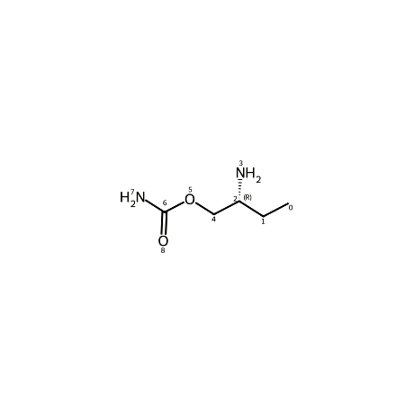 CC[C@@H](N)COC(N)=O